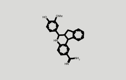 COc1cc(C2Nc3ccc(C(=N)N)cc3C3c4ccccc4CC23)ccc1O